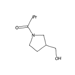 CC(C)C(=O)N1CCC(CO)C1